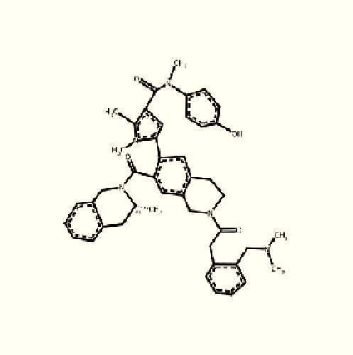 Cc1c(C(=O)N(C)c2ccc(O)cc2)cc(-c2cc3c(cc2C(=O)N2Cc4ccccc4C[C@H]2C)CN(C(=O)Cc2ccccc2CN(C)C)CC3)n1C